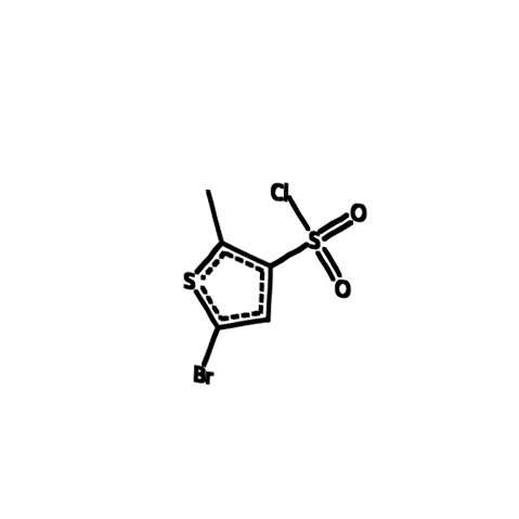 Cc1sc(Br)cc1S(=O)(=O)Cl